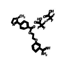 CN1CCN=C1c1ccc(C(=O)OCCOc2cccc(C(=N)N)c2)cc1.O=C(O)C(F)(F)F.O=C(O)C(F)(F)F